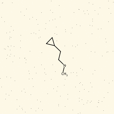 C[N]CCC1CC1